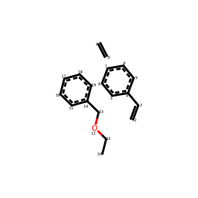 C=C.C=Cc1ccccc1.CCOCc1ccccc1